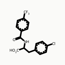 O=C(NC(Cc1ccc(Cl)cc1)C(=O)O)c1ccc(C(F)(F)F)cc1